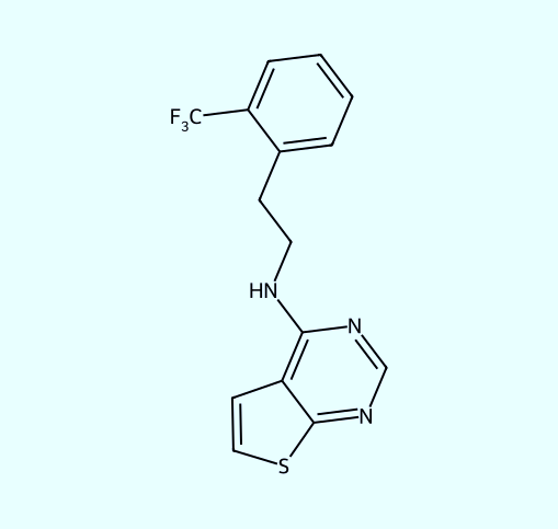 FC(F)(F)c1ccccc1CCNc1ncnc2sccc12